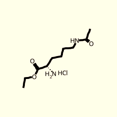 CCOC(=O)[C@@H](N)CCCCNC(C)=O.Cl